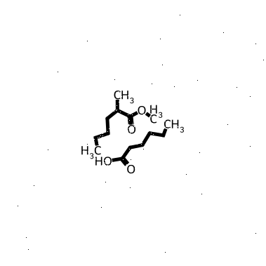 CCCCC(C)C(=O)OC.CCCCCC(=O)O